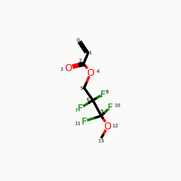 C=CC(=O)OCC(F)(F)C(F)(F)OC